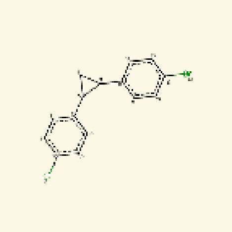 Clc1ccc(C2CC2c2ccc(Br)cc2)cc1